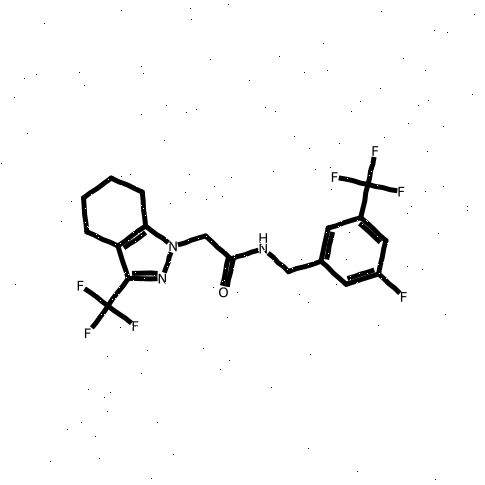 O=C(Cn1nc(C(F)(F)F)c2c1CCCC2)NCc1cc(F)cc(C(F)(F)F)c1